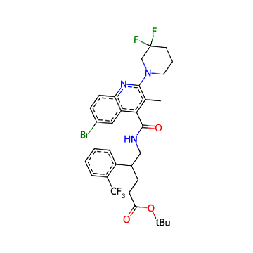 Cc1c(N2CCCC(F)(F)C2)nc2ccc(Br)cc2c1C(=O)NCC(CCC(=O)OC(C)(C)C)c1ccccc1C(F)(F)F